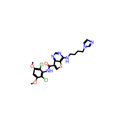 COc1cc(OC)c(Cl)c(NC(=O)c2csc3c(NCCCCn4ccnc4)ncnc23)c1Cl